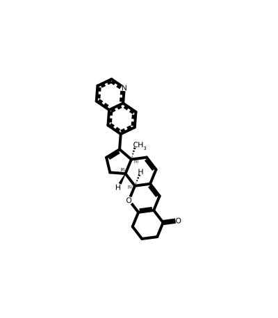 C[C@]12C=CC3=CC4=C(CCCC4=O)O[C@H]3[C@@H]1CC=C2c1ccc2ncccc2c1